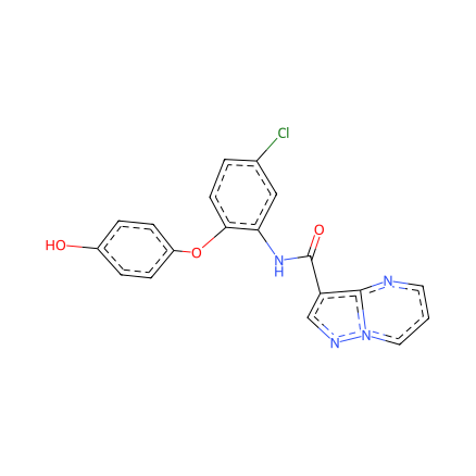 O=C(Nc1cc(Cl)ccc1Oc1ccc(O)cc1)c1cnn2cccnc12